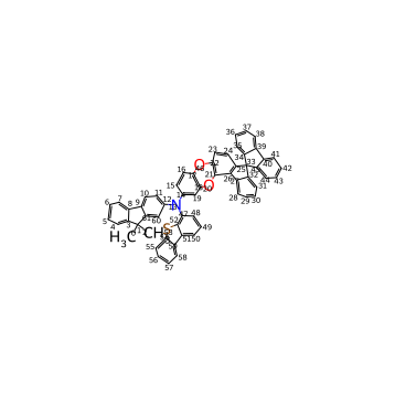 CC1(C)c2ccccc2-c2ccc(N(c3ccc4c(c3)Oc3c(ccc5c3-c3ccccc3C53c5ccccc5-c5ccccc53)O4)c3cccc4c3sc3ccccc34)cc21